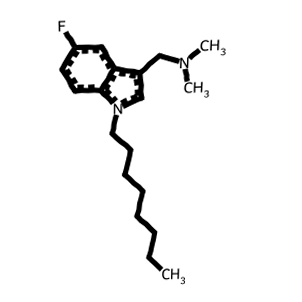 CCCCCCCCn1cc(CN(C)C)c2cc(F)ccc21